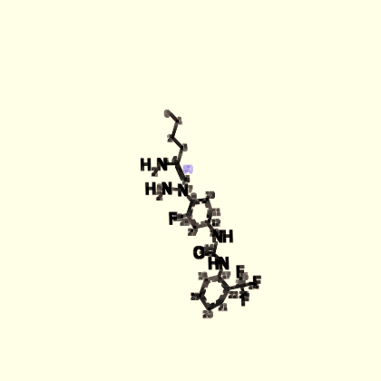 CCCC/C(N)=C/N(N)c1ccc(NC(=O)Nc2ccccc2C(F)(F)F)cc1F